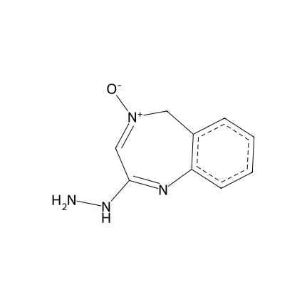 NNC1=Nc2ccccc2C[N+]([O-])=C1